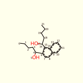 CCCCC(O)c1ccc2ccccc2c1C(O)CCCC